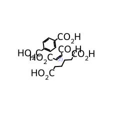 O=C(O)/C=C\C(=O)O.O=C(O)CCCCC(=O)O.O=C(O)c1ccc(C(=O)O)cc1